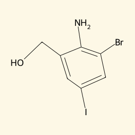 Nc1c(Br)cc(I)cc1CO